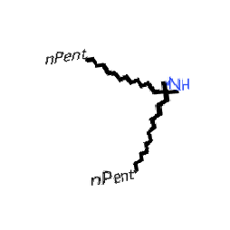 CCCCCC=CCC=CCCCCCCCCC1(CCCCCCCCC=CCC=CCCCCC)CNC1